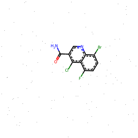 NC(=O)c1cnc2c(Br)ccc(F)c2c1Cl